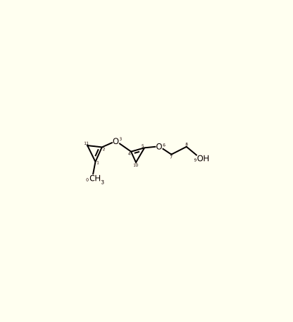 CC1=C(OC2=C(OCCO)C2)C1